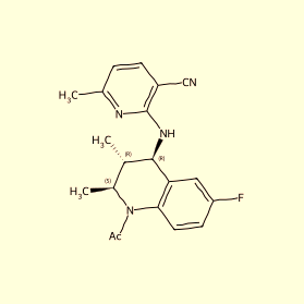 CC(=O)N1c2ccc(F)cc2[C@H](Nc2nc(C)ccc2C#N)[C@@H](C)[C@@H]1C